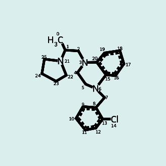 CC(CN1CCN(Cc2ccccc2Cl)c2ccccc21)N1CCCC1